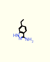 CCc1ccc2c(N)n[nH]c2c1